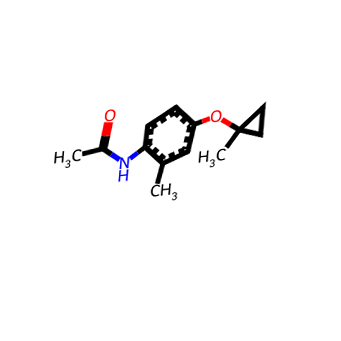 CC(=O)Nc1ccc(OC2(C)CC2)cc1C